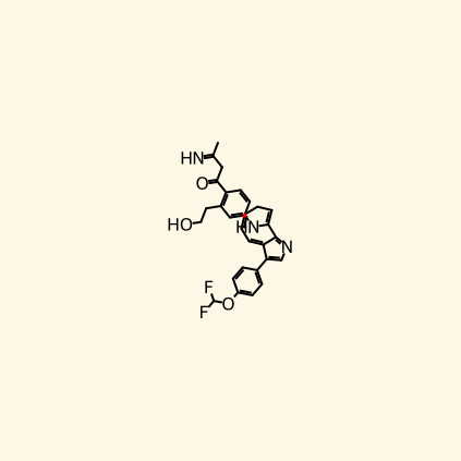 CC(=N)CC(=O)c1ccc(N/C2=C\C/C=C\C=C3\C(c4ccc(OC(F)F)cc4)=CN=C23)cc1CCO